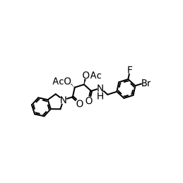 CC(=O)O[C@@H](C(=O)NCc1ccc(Br)c(F)c1)[C@@H](OC(C)=O)C(=O)N1Cc2ccccc2C1